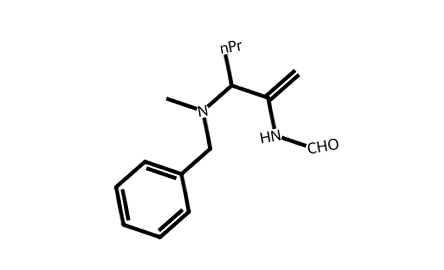 C=C(NC=O)C(CCC)N(C)Cc1ccccc1